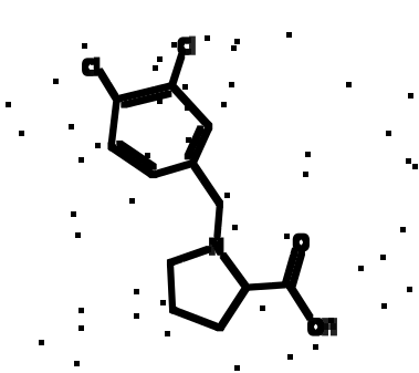 O=C(O)C1CCCN1Cc1ccc(Cl)c(Cl)c1